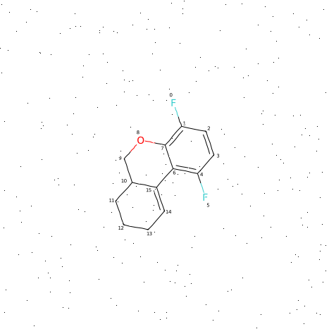 Fc1ccc(F)c2c1OCC1CCCC=C21